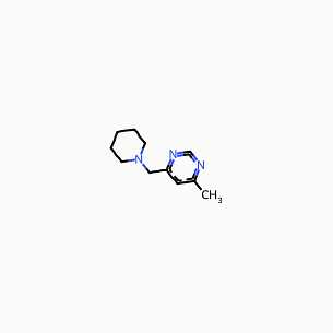 Cc1cc(CN2CCCCC2)ncn1